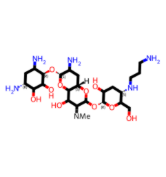 CNC1C(O[C@H]2OC(CO)[C@@H](NCCCN)CC2O)O[C@H]2CC(N)[C@@H](O[C@@H]3C(N)C[C@@H](N)C(O)C3O)OC2C1O